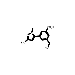 Cn1nc(C(F)(F)F)cc1-c1cc(CO)cc(C(=O)O)c1